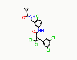 O=C(NCc1cc(NC(=O)C2C(c3cc(Cl)cc(Cl)c3)C2(Cl)Cl)ccc1Cl)C1CC1